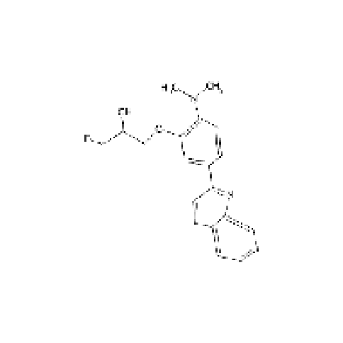 CN(C)c1ccc(-c2ccc3ccccc3n2)cc1OCC(O)CF